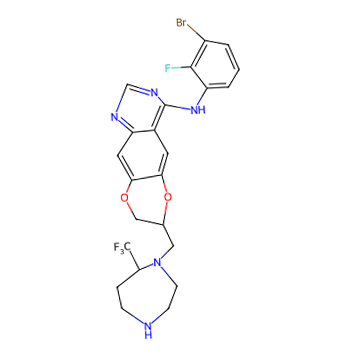 Fc1c(Br)cccc1Nc1ncnc2cc3c(cc12)OC(CN1CCNCCC1C(F)(F)F)CO3